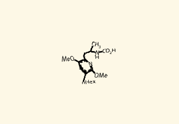 CCCCCCc1cc(OC)c(CC(C)NC(=O)O)nc1OC